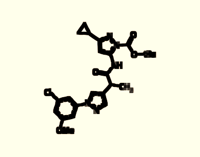 COc1cc(Cl)cc(-n2cc(C(C)C(=O)Nc3cc(C4CC4)nn3C(=O)OC(C)(C)C)cn2)c1